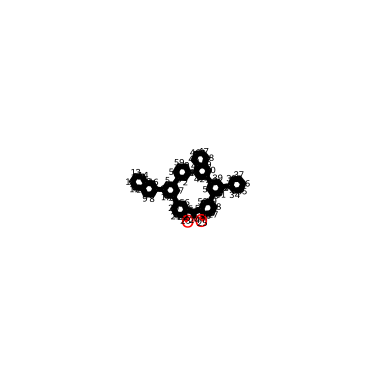 c1ccc(-c2cc(-c3ccc4ccccc4c3)cc(-c3ccc4oc5oc6ccc(-c7cc(-c8ccccc8)cc(-c8ccc9ccccc9c8)c7)cc6c5c4c3)c2)cc1